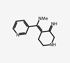 CN/C(=C1/CCNCC1=N)c1cccnc1